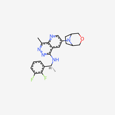 Cc1nnc(N[C@H](C)c2cccc(F)c2F)c2cc(N3C4CCC3COC4)cnc12